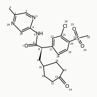 Cc1cnc(NC(=O)[C@H](CC2CCC(=O)CC2)c2ccc(S(C)(=O)=O)c(Cl)c2)cn1